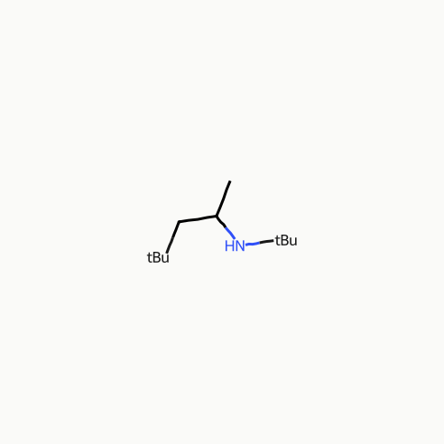 CC(CC(C)(C)C)NC(C)(C)C